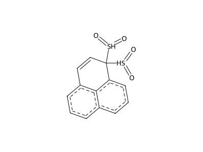 O=[SH](=O)C1([SH](=O)=O)C=Cc2cccc3cccc1c23